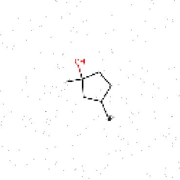 CC(C)C1CCC(C)(O)C1